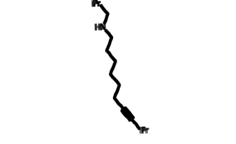 CC(C)C#CCCCCCCNCC(C)C